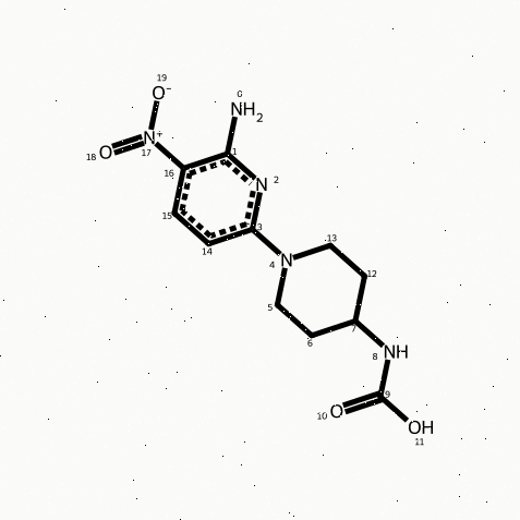 Nc1nc(N2CCC(NC(=O)O)CC2)ccc1[N+](=O)[O-]